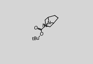 CC(C)(C)OC(=O)N1CC2CCC(C1)N2C#N